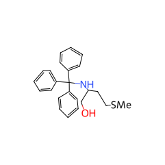 CSCCC(CO)NC(c1ccccc1)(c1ccccc1)c1ccccc1